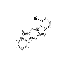 Brc1cccc2oc3cc4c(cc3c12)oc1ccccc14